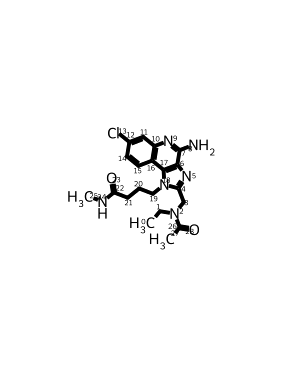 CCN(Cc1nc2c(N)nc3cc(Cl)ccc3c2n1CCCC(=O)NC)C(C)=O